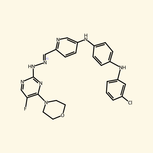 Fc1cnc(N/N=C/c2ccc(Nc3ccc(Nc4cccc(Cl)c4)cc3)cn2)nc1N1CCOCC1